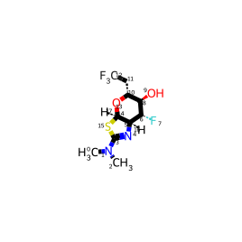 CN(C)C1=N[C@@H]2[C@@H](F)[C@H](O)[C@@H](CC(F)(F)F)O[C@@H]2S1